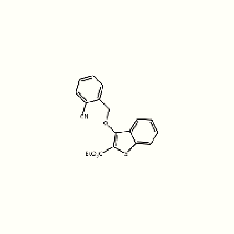 CCOC(=O)c1sc2ccccc2c1OCc1ccccc1C#N